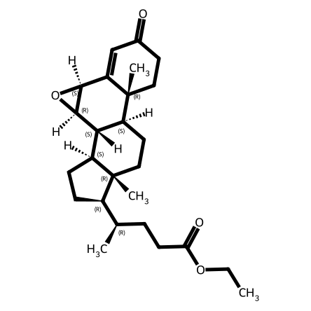 CCOC(=O)CC[C@@H](C)[C@H]1CC[C@H]2[C@@H]3[C@H]4O[C@H]4C4=CC(=O)CC[C@]4(C)[C@H]3CC[C@]12C